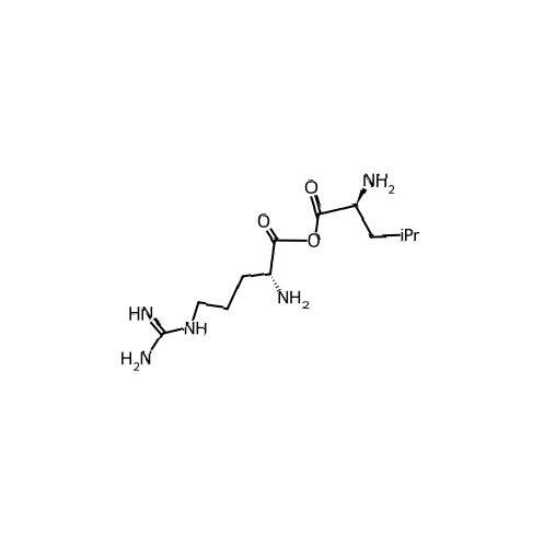 CC(C)C[C@H](N)C(=O)OC(=O)[C@H](N)CCCNC(=N)N